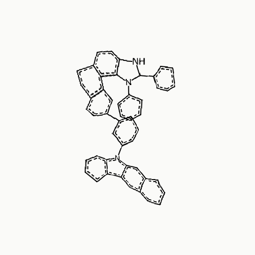 c1ccc(C2Nc3ccc4ccc5ccc(-c6cccc(-n7c8ccccc8c8cc9ccccc9cc87)c6)cc5c4c3N2c2ccccc2)cc1